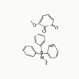 C=CC[PH](c1ccccc1)(c1ccccc1)c1ccccc1.COC1=CC=CC(=O)C1=O